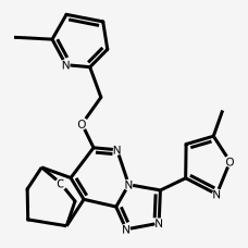 Cc1cccc(COc2nn3c(-c4cc(C)on4)nnc3c3c2C2CCC3CC2)n1